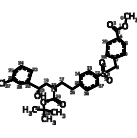 COC(=O)c1ccc(CS(=O)(=O)c2ccc(CCN(C[C@@H](O)c3cccc(Cl)c3)C(=O)OC(C)(C)C)cc2)cc1